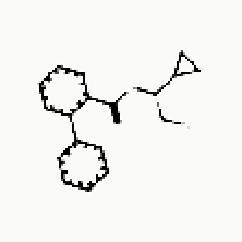 NC[C@@H](NC(=O)c1ccccc1-c1ccccc1)C1CC1